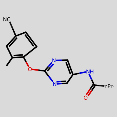 CC[CH]C(=O)Nc1cnc(Oc2ccc(C#N)cc2C)nc1